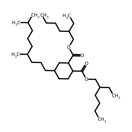 CCCCC(CC)COC(=O)C1CCC(CCCC(C)CCCC(C)C)CC1C(=O)OCC(CC)CCCC